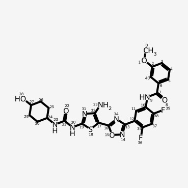 COc1cccc(C(=O)Nc2cc(-c3noc(-c4sc(NC(=O)NC5CCC(O)CC5)nc4N)n3)c(F)cc2F)c1